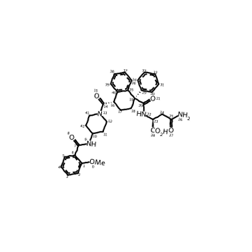 COc1ccccc1C(=O)NC1CCN(C(=O)[C@H]2CC[C@@](C(=O)N[C@@H](CC(N)=O)C(=O)O)(c3ccccc3)c3ccccc32)CC1